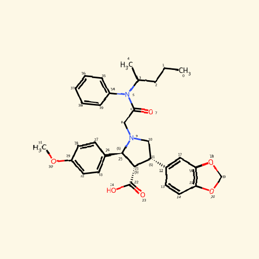 CCCC(C)N(C(=O)CN1C[C@H](c2ccc3c(c2)OCO3)[C@H](C(=O)O)[C@H]1c1ccc(OC)cc1)c1ccccc1